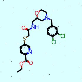 CCOC(=O)c1ccc(SCC(=O)NCC2CN(Cc3ccc(Cl)c(Cl)c3)CCO2)cn1